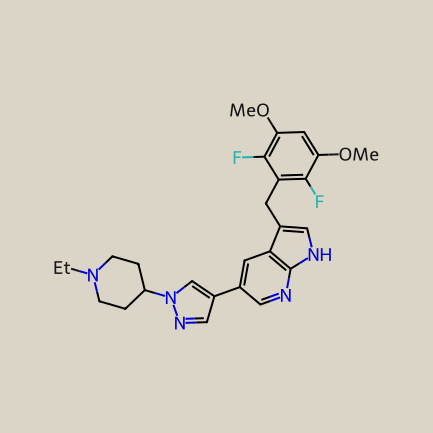 CCN1CCC(n2cc(-c3cnc4[nH]cc(Cc5c(F)c(OC)cc(OC)c5F)c4c3)cn2)CC1